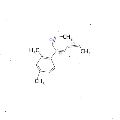 C\C=C/C=C(\C=C/C)c1ccc(C)cc1C